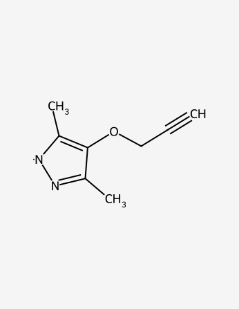 C#CCOC1=C(C)[N]N=C1C